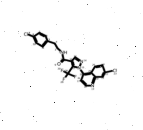 O=C(NCCc1ccc(Cl)cc1)c1cnn(-c2ccnc3cc(Cl)ccc23)c1C(F)(F)F